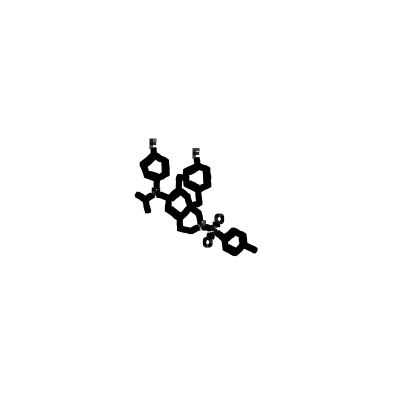 C=CC1=C(N(c2ccc(F)cc2)C(C)C)C=C2CCN(S(=O)(=O)c3ccc(C)cc3)CC2(Cc2ccc(F)cc2)C1